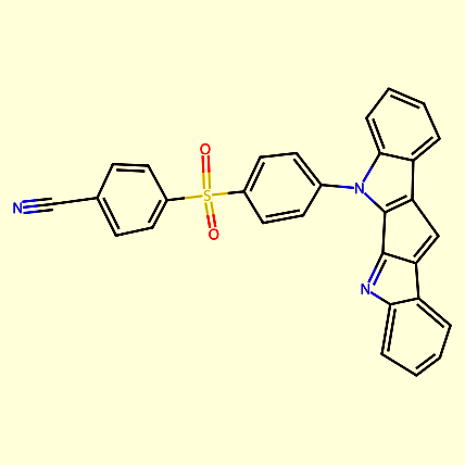 N#Cc1ccc(S(=O)(=O)c2ccc(-n3c4c(c5ccccc53)C=C3C4=Nc4ccccc43)cc2)cc1